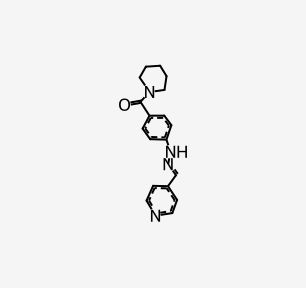 O=C(c1ccc(NN=Cc2ccncc2)cc1)N1CCCCC1